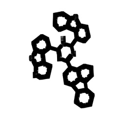 c1ccc2c(c1)-c1cccc3c(C4=NC(c5cccc6oc7ccccc7c56)NC(c5cccc6oc7ncccc7c56)=N4)ccc-2c13